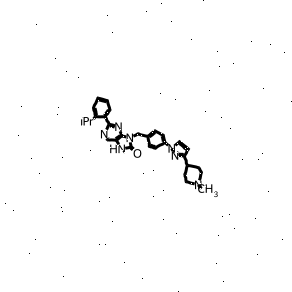 CC(C)c1ccccc1-c1ncc2[nH]c(=O)n(Cc3ccc(-n4ccc(C5CCN(C)CC5)n4)cc3)c2n1